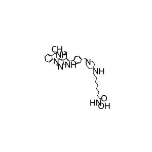 CC(Nc1ncnc2[nH]c(-c3ccc(CN4CCC(NCCCCCCCC(=O)NO)CC4)cc3)cc12)c1ccccc1